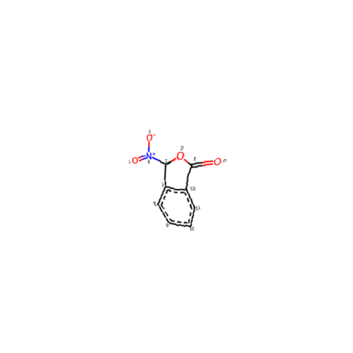 O=C1OC([N+](=O)[O-])c2ccccc21